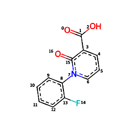 O=C(O)c1cccn(-c2ccccc2F)c1=O